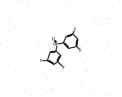 O=[PH](c1cc(F)cc(F)c1)c1cc(F)cc(F)c1